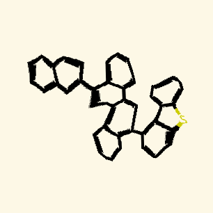 c1ccc2cc(-c3cc4c5ccccc5c(-c5cccc6sc7ccccc7c56)cc4c4ccccc34)ccc2c1